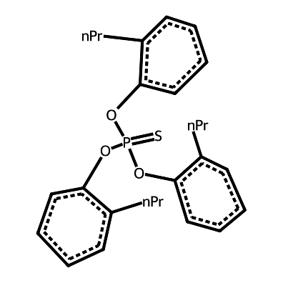 CCCc1ccccc1OP(=S)(Oc1ccccc1CCC)Oc1ccccc1CCC